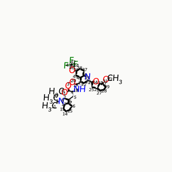 COC(=O)[C@@H](Cc1cn(C(C)C)c2ccccc12)NC(=O)c1cc(-c2cc3cccc(OC)c3o2)nc2ccc(OC(F)(F)F)cc12